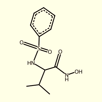 CC(C)C(NS(=O)(=O)c1ccccc1)C(=O)NO